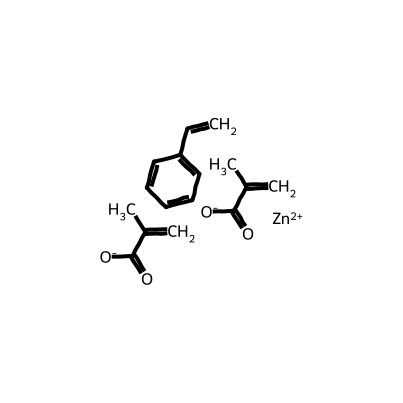 C=C(C)C(=O)[O-].C=C(C)C(=O)[O-].C=Cc1ccccc1.[Zn+2]